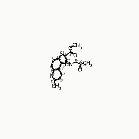 COC(=O)c1sc2ccc3nc(C)ccc3c2c1NCC(C)=O